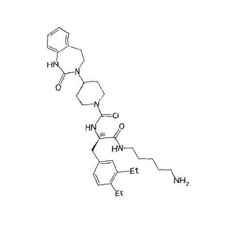 CCc1ccc(C[C@@H](NC(=O)N2CCC(N3CCc4ccccc4NC3=O)CC2)C(=O)NCCCCCN)cc1CC